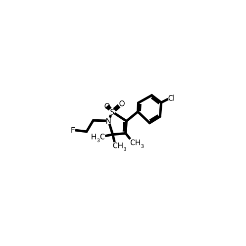 CC1=C(c2ccc(Cl)cc2)S(=O)(=O)N(CCF)C1(C)C